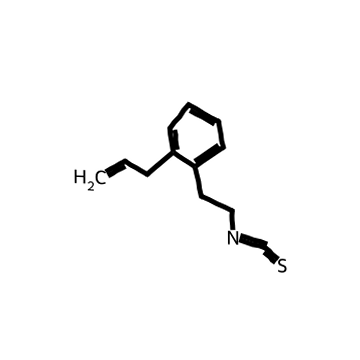 C=CCc1ccccc1CCN=C=S